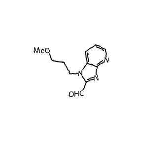 COCCCn1c(C=O)nc2ncccc21